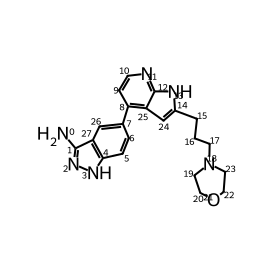 Nc1n[nH]c2ccc(-c3ccnc4[nH]c(CCCN5CCOCC5)cc34)cc12